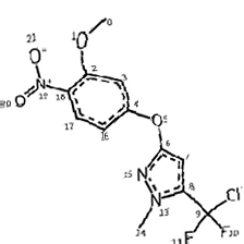 COc1cc(Oc2cc(C(F)(F)Cl)n(C)n2)ccc1[N+](=O)[O-]